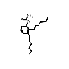 CCCCCCc1cccc(OC(N)=S)c1CCCCCC